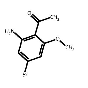 COc1cc(Br)cc(N)c1C(C)=O